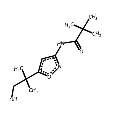 CC(C)(C)C(=O)Nc1cc(C(C)(C)CO)on1